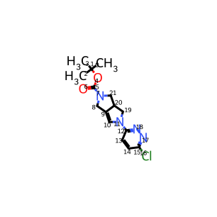 CC(C)(C)OC(=O)N1CC2=CN(c3ccc(Cl)nn3)CC2C1